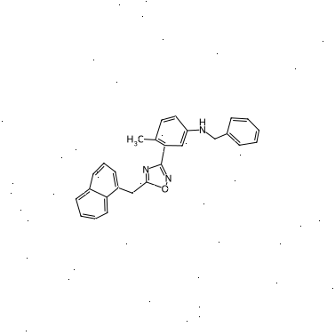 Cc1ccc(NCc2ccccc2)cc1-c1noc(Cc2cccc3ccccc23)n1